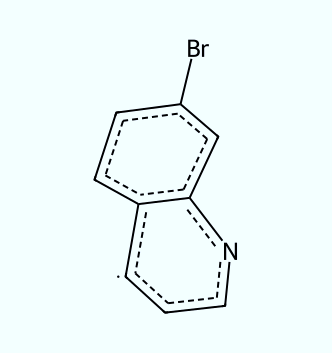 Brc1ccc2[c]ccnc2c1